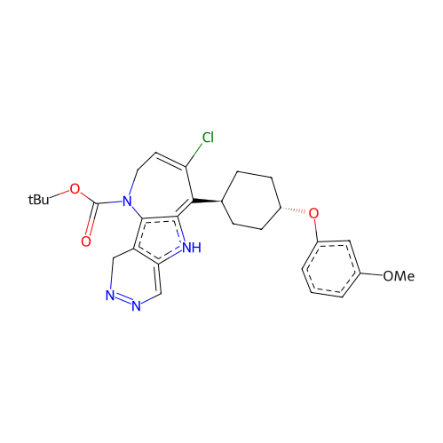 COc1cccc(O[C@H]2CC[C@H](C3=c4[nH]c5c(c4N(C(=O)OC(C)(C)C)CC=C3Cl)CN=NC=5)CC2)c1